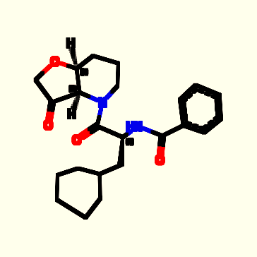 O=C(N[C@@H](CC1CCCCC1)C(=O)N1CCC[C@@H]2OCC(=O)[C@@H]21)c1ccccc1